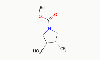 CC(C)(C)OC(=O)N1CC(C(=O)O)C(C(F)(F)F)C1